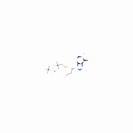 Cn1cnc2c(ncn2C(OCCC(C)(C)OP(=O)(O)C(C)(C)O)[C@H](O)CO)c1=N